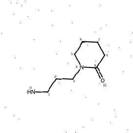 [NH]CCCN1CCCCC1=O